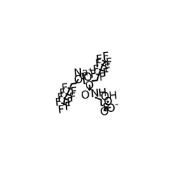 CC(COC(=O)NCC(O)CS(=O)(=O)[O-])(OCCC(F)(F)C(F)(F)C(F)(F)C(F)(F)F)OCCC(F)(F)C(F)(F)C(F)(F)C(F)(F)F.[Na+]